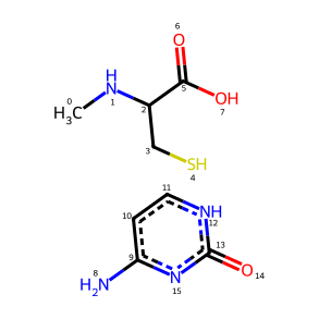 CNC(CS)C(=O)O.Nc1cc[nH]c(=O)n1